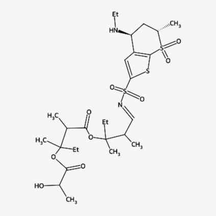 CCN[C@H]1C[C@H](C)S(=O)(=O)c2sc(S(=O)(=O)/N=C/C(C)C(C)(CC)OC(=O)C(C)C(C)(CC)OC(=O)C(C)O)cc21